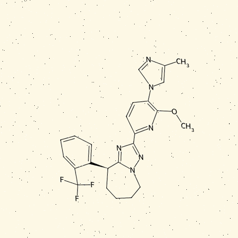 COc1nc(-c2nc3n(n2)CCCC[C@H]3c2ccccc2C(F)(F)F)ccc1-n1cnc(C)c1